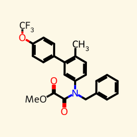 COC(=O)C(=O)N(Cc1ccccc1)c1ccc(C)c(-c2ccc(OC(F)(F)F)cc2)c1